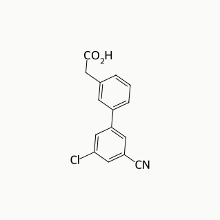 N#Cc1cc(Cl)cc(-c2cccc(CC(=O)O)c2)c1